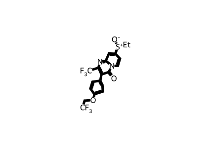 CC[S@@+]([O-])c1ccn2c(=O)c(-c3ccc(OCC(F)(F)F)cc3)c(C(F)(F)F)nc2c1